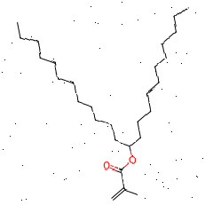 C=C(C)C(=O)OC(CCCCCCCCCCC)CCCCCCCCCCCC